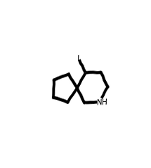 IC1CCNCC12CCCC2